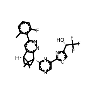 Cc1cccc(F)c1-c1cc2c(nn1)[C@@]1(c3cncc(-c4nc([C@H](O)C(F)(F)F)co4)n3)CC[C@@H]2C1(C)C